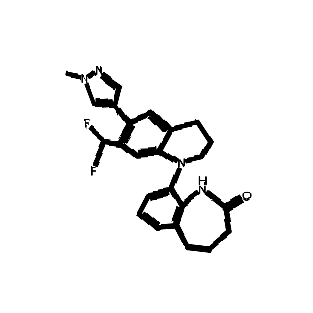 Cn1cc(-c2cc3c(cc2C(F)F)N(c2cccc4c2NC(=O)CCC4)CCC3)cn1